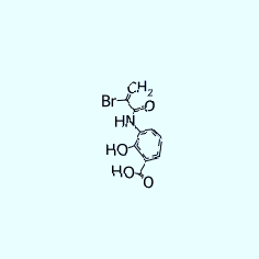 C=C(Br)C(=O)Nc1cccc(C(=O)O)c1O